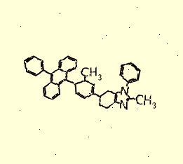 Cc1nc2c(n1-c1ccccc1)CC(C1=CC(C)C(c3c4ccccc4c(-c4ccccc4)c4ccccc34)C=C1)CC2